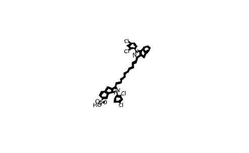 O=S(=O)(O)c1ccc2c(c1)-c1c(c(/C=C/CCCCCC/C=C/c3nn(-c4ccc(Cl)cc4Cl)c4c3Cc3ccccc3-4)nn1-c1ccc(Cl)cc1Cl)C2